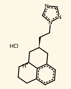 Cl.c1cc2c3c(c1)C[C@H](CCn1cncn1)C[C@H]3CCC2